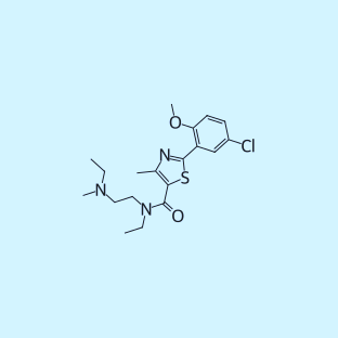 CCN(C)CCN(CC)C(=O)c1sc(-c2cc(Cl)ccc2OC)nc1C